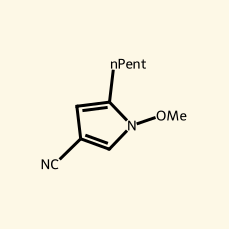 CCCCCc1cc(C#N)cn1OC